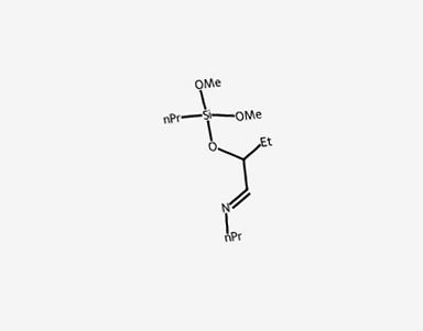 CCCN=CC(CC)O[Si](CCC)(OC)OC